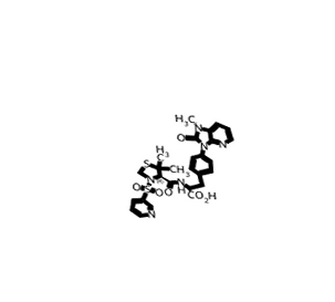 Cn1c(=O)n(-c2ccc(C[C@H](NC(=O)[C@H]3N(S(=O)(=O)c4cccnc4)CSC3(C)C)C(=O)O)cc2)c2ncccc21